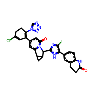 O=C1CCc2cc(-c3[nH]c(C4C5CC5c5cc(C6=C(n7cnnn7)CCC(Cl)=C6)cc(=O)n54)nc3F)ccc2N1